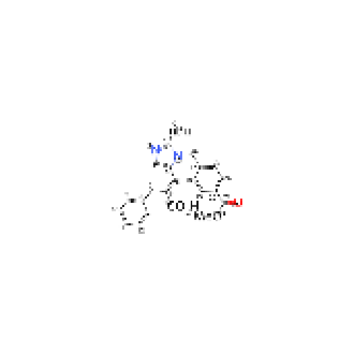 CCCCc1ncc(/C=C(\Cc2ccccc2)C(=O)O)n1Cc1ccc(C(=O)OC)cc1